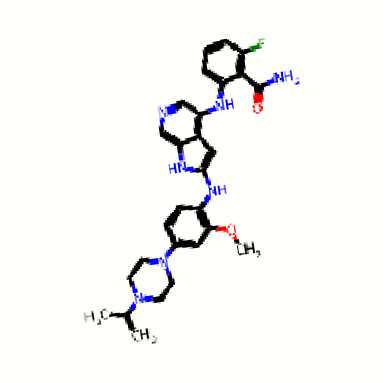 COc1cc(N2CCN(C(C)C)CC2)ccc1Nc1cc2c(Nc3cccc(F)c3C(N)=O)cncc2[nH]1